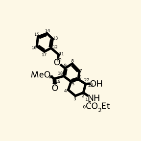 CCOC(=O)NC1CCc2c(ccc(OCc3ccccc3)c2C(=O)OC)C1O